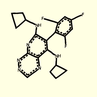 Fc1cc(F)c(-c2c(NC3CCC3)nc3nncnc3c2NC2CCC2)c(F)c1